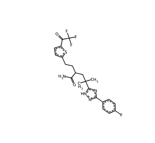 CC(C)(CC(CCc1ccc(C(=O)C(F)(F)F)s1)C(N)=O)c1nc(-c2ccc(F)cc2)n[nH]1